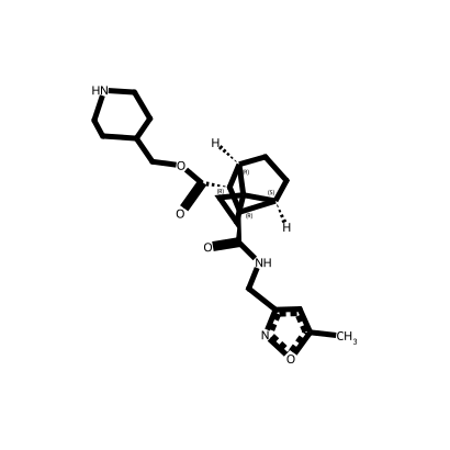 Cc1cc(CNC(=O)[C@H]2[C@H](C(=O)OCC3CCNCC3)[C@H]3CC[C@@H]2C32CC2)no1